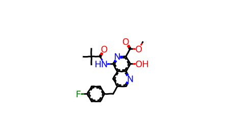 COC(=O)c1nc(NC(=O)C(C)(C)C)c2cc(Cc3ccc(F)cc3)cnc2c1O